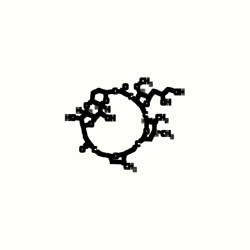 C=C1CC2CCC(=O)CC3OC4C(O)[C@H]5OC(CCC5O[C@H]4C3O)CC(=O)CC3C(C[C@H]4OC(CCC1O2)C[C@@H](C)C4=C)OC(CC(O)CO)[C@@H]3OC